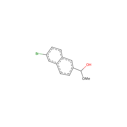 COC(O)c1ccc2cc(Br)ccc2c1